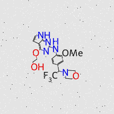 COc1cc([C@@H](N2CCOCC2)C(F)(F)F)ccc1Nc1nc(OCCO)c2cc[nH]c2n1